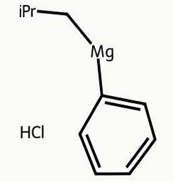 CC(C)[CH2][Mg][c]1ccccc1.Cl